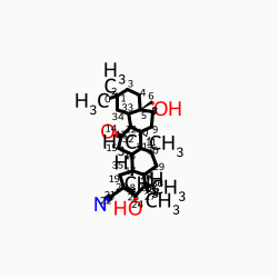 CC1(C)CC[C@]2(CO)CC[C@]3(C)C(C(=O)C[C@@H]4[C@@]5(C)CC(C#N)=C(O)C(C)(C)[C@@H]5CC[C@]43C)C2C1